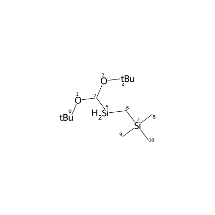 CC(C)(C)OC(OC(C)(C)C)[SiH2]C[Si](C)(C)C